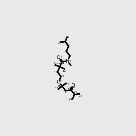 CC(C)CCCN(C)C(=O)C(C)(C)CCOC(C)(C)CC(=O)C(C)C